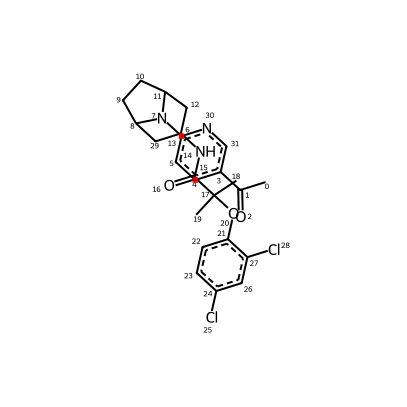 CC(=O)c1ccc(N2C3CCC2CC(NC(=O)C(C)(C)Oc2ccc(Cl)cc2Cl)C3)nc1